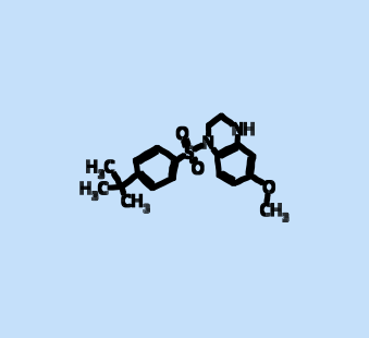 COc1ccc2c(c1)NCCN2S(=O)(=O)c1ccc(C(C)(C)C)cc1